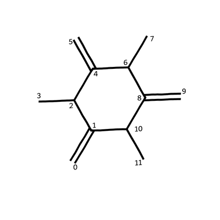 C=C1C(C)C(=C)C(C)C(=C)C1C